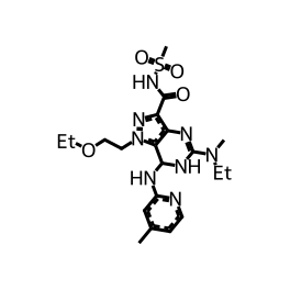 CCOCCn1nc(C(=O)NS(C)(=O)=O)c2c1C(Nc1cc(C)ccn1)NC(N(C)CC)=N2